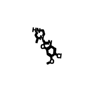 COc1cc2oc(N3CCNCC3C)nc2cc1Cl